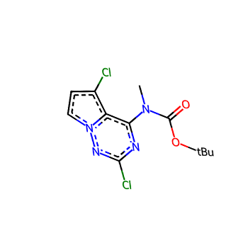 CN(C(=O)OC(C)(C)C)c1nc(Cl)nn2ccc(Cl)c12